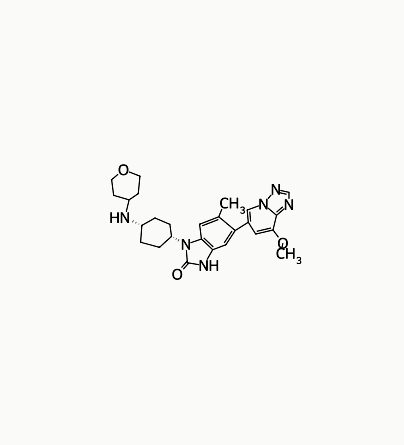 COc1cc(-c2cc3[nH]c(=O)n([C@H]4CC[C@@H](NC5CCOCC5)CC4)c3cc2C)cn2ncnc12